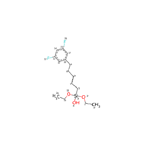 CCO[Si](O)(CCCCCc1cc(F)cc(F)c1)OCC